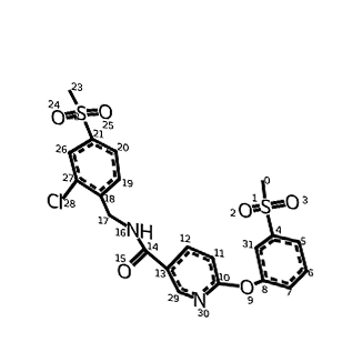 CS(=O)(=O)c1cccc(Oc2ccc(C(=O)NCc3ccc(S(C)(=O)=O)cc3Cl)cn2)c1